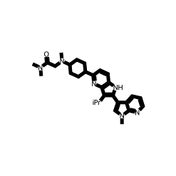 CC(C)c1c(-c2cn(C)c3ncccc23)[nH]c2ccc(C3CCC(N(C)CC(=O)N(C)C)CC3)nc12